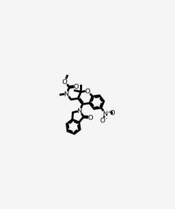 COC(=O)N(C)CC1=C(N2Cc3ccccc3C2=O)c2cc([N+](=O)[O-])ccc2OC1(C)C